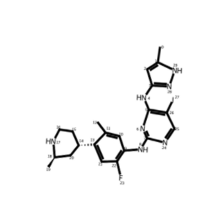 Cc1cc(Nc2nc(Nc3cc(C)c([C@H]4CCN[C@H](C)C4)cc3F)ncc2I)n[nH]1